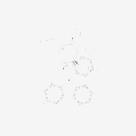 OC[C@H]1O[C@H](OC(c2ccccc2)(c2ccccc2)c2ccccc2)[C@H](O)[C@@H](O)[C@@H]1O